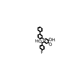 O=c1cc(C(O)c2ccc(F)cc2)n(-c2cccc(-c3ccccc3)c2)cc1O